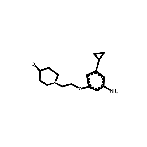 Nc1cc(OCCN2CCC(O)CC2)cc(C2CC2)c1